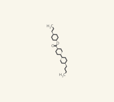 CCCC[C@H]1CC[C@H]([C@H]2CC[C@H](C(=O)O[C@H]3CC[C@H](CCC)CC3)CC2)CC1